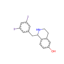 Oc1ccc2c(c1)CCNC2Cc1cc(I)cc(I)c1